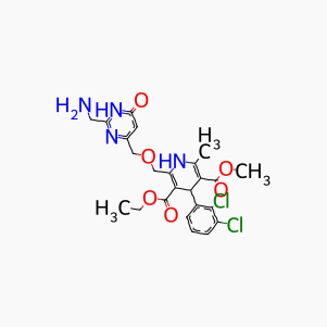 CCOC(=O)C1=C(COCc2cc(=O)[nH]c(CN)n2)NC(C)=C(C(=O)OC)C1c1cccc(Cl)c1Cl